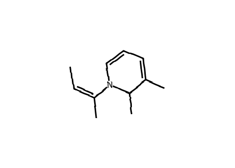 C/C=C(/C)N1C=CC=C(C)C1C